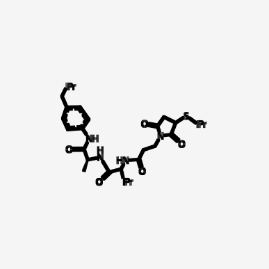 CC(C)Cc1ccc(NC(=O)[C@H](C)NC(=O)C(NC(=O)CCN2C(=O)CC(SC(C)C)C2=O)C(C)C)cc1